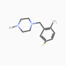 CC(=O)N1CCN(Cc2cc(F)ccc2C(F)(F)F)CC1